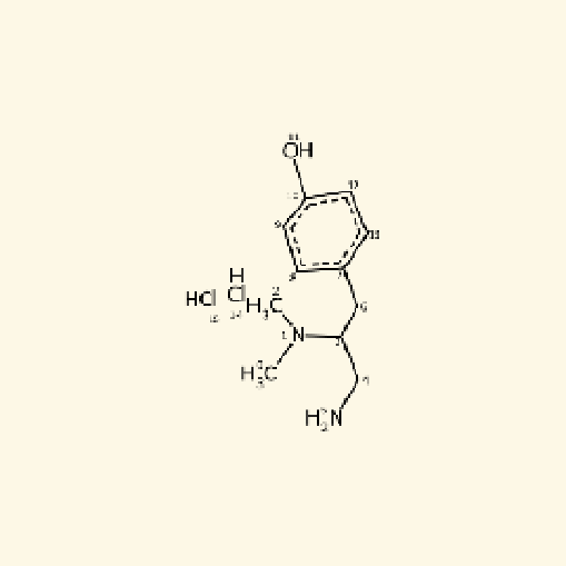 CN(C)C(CN)Cc1ccc(O)cc1.Cl.Cl